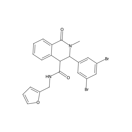 CN1C(=O)c2ccccc2C(C(=O)NCc2ccco2)C1c1cc(Br)cc(Br)c1